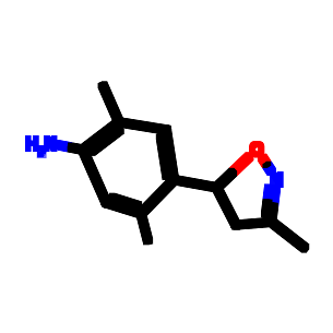 CC1=NOC(c2cc(C)c(N)cc2C)C1